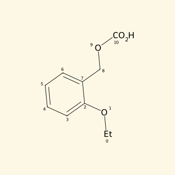 CCOc1ccccc1COC(=O)O